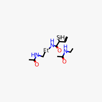 C=CC([SiH3])C(=O)NCC.CCNC(C)=O.CCNC(C)=O